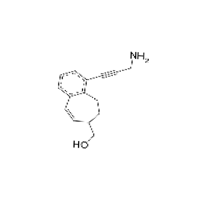 NCC#Cc1cccc2c1CCC(CO)C=C2